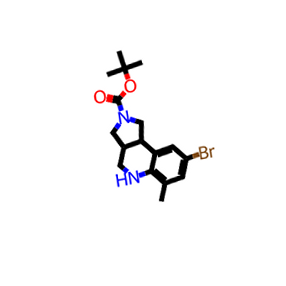 Cc1cc(Br)cc2c1NCC1CN(C(=O)OC(C)(C)C)CC21